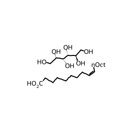 CCCCCCCC/C=C\CCCCCCCC(=O)O.OC[C@@H](O)[C@@H](O)[C@H](O)[C@@H](O)CO